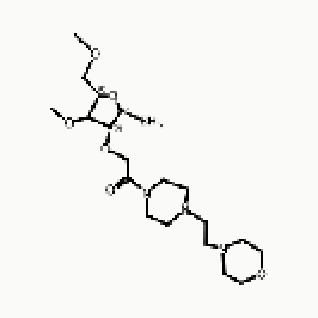 B[C@@H]1O[C@H](COC)C(OC)[C@@H]1OCC(=O)N1CCN(CCN2CCOCC2)CC1